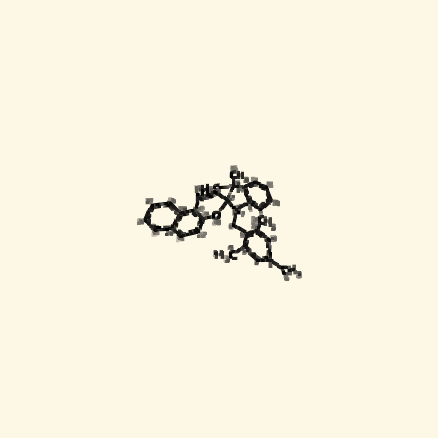 Cc1cc(C)c(CN2c3ccccc3C(C)(C)C23C=Nc2c(ccc4ccccc24)O3)c(C)c1